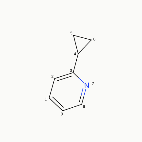 c1ccc(C2CC2)nc1